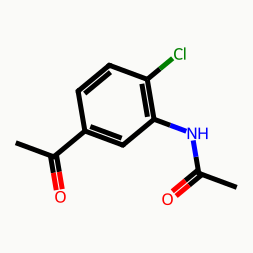 CC(=O)Nc1cc(C(C)=O)ccc1Cl